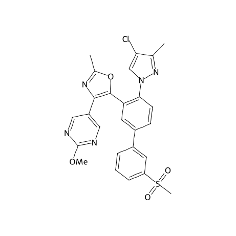 COc1ncc(-c2nc(C)oc2-c2cc(-c3cccc(S(C)(=O)=O)c3)ccc2-n2cc(Cl)c(C)n2)cn1